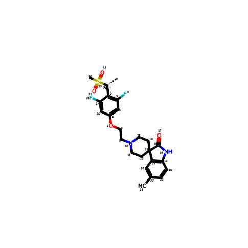 C[C@H](c1c(F)cc(OCCN2CCC3(CC2)C(=O)Nc2ccc(C#N)cc23)cc1F)S(C)(=O)=O